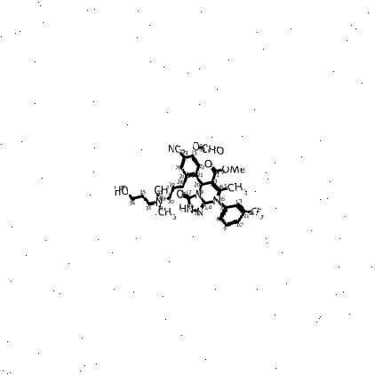 COC(=O)C1=C(C)N(c2cccc(C(F)(F)F)c2)c2n[nH]c(=O)n2C1c1ccc(C#N)cc1CCC[N+](C)(C)CCCO.O=C[O-]